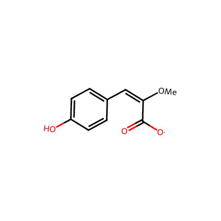 COC(=Cc1ccc(O)cc1)C([O])=O